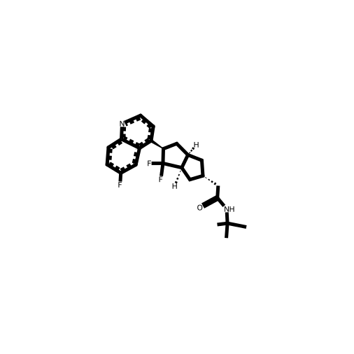 CC(C)(C)NC(=O)C[C@H]1C[C@@H]2C[C@H](c3ccnc4ccc(F)cc34)C(F)(F)[C@@H]2C1